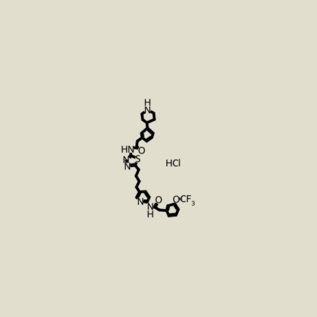 Cl.O=C(Cc1cccc(OC(F)(F)F)c1)Nc1ccc(CCCCc2nnc(NC(=O)Cc3cccc(C4CCNCC4)c3)s2)cn1